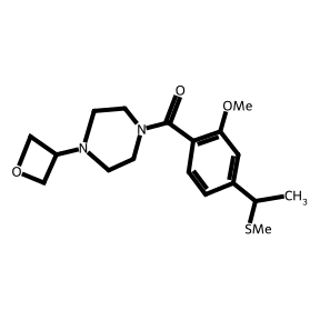 COc1cc(C(C)SC)ccc1C(=O)N1CCN(C2COC2)CC1